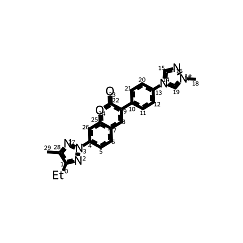 CCc1nn(-c2ccc3cc(-c4ccc(-n5cn[n+](C)c5)cc4)c(=O)oc3c2)nc1C